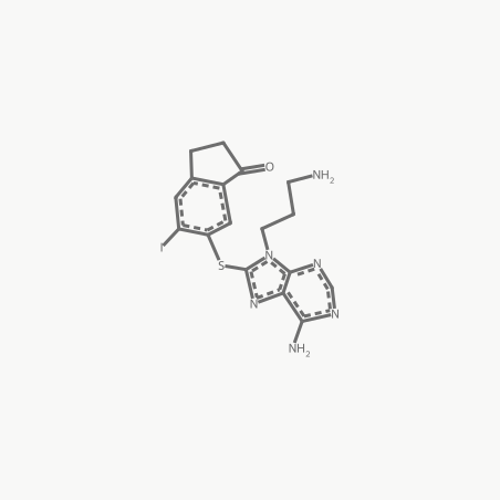 NCCCn1c(Sc2cc3c(cc2I)CCC3=O)nc2c(N)ncnc21